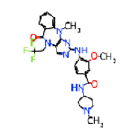 COc1cc(C(=O)NC2CCN(C)CC2)ccc1Nc1ncc2c(n1)N(C)c1ccccc1C(=O)N2CC(F)(F)F